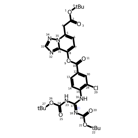 CC(C)(C)OC(=O)Cc1ccc(OC(=O)c2ccc(N/C(=N\C(=O)OC(C)(C)C)NC(=O)OC(C)(C)C)c(Cl)c2)c2ncnn12